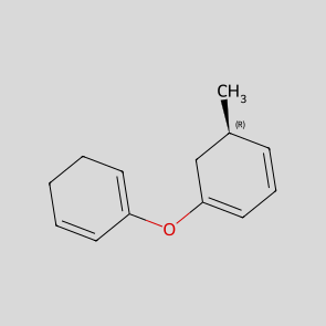 C[C@H]1C=CC=C(OC2=CCCC=C2)C1